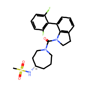 CS(=O)(=O)N[C@H]1CCCN(C(=O)N2CCc3cccc(-c4c(F)cccc4F)c32)CC1